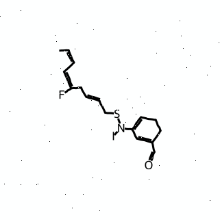 C/C=C\C=C(\F)C/C=C/CSN(I)C1=CCCC(C=O)=C1